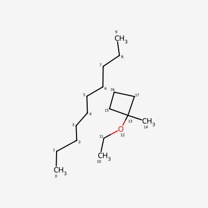 CCCCCCCCCC.CCOC1(C)CCC1